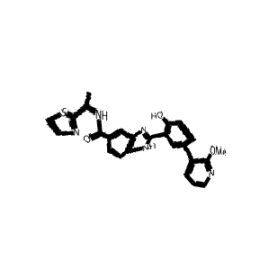 COc1ncccc1-c1ccc(O)c(-c2nc3cc(C(=O)NC(C)c4nccs4)ccc3[nH]2)c1